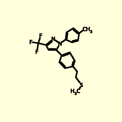 CSCCc1ccc(-c2cc(C(F)(F)F)nn2-c2ccc(C)cc2)cc1